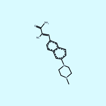 CN1CCN(c2ccc3cc(/C=C(\C#N)C(N)=O)ccc3c2)CC1